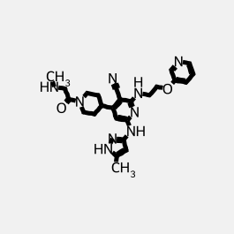 CNCC(=O)N1CCC(c2cc(Nc3cc(C)[nH]n3)nc(NCCOc3cccnc3)c2C#N)CC1